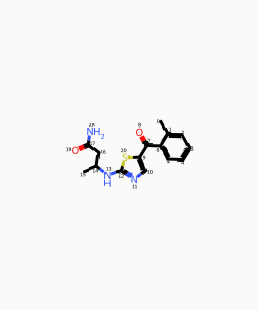 Cc1ccccc1C(=O)c1cnc(NC(C)CC(N)=O)s1